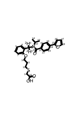 [2H]C([2H])(c1ccccc1OCCCSCC(=O)O)N(C(=O)c1ccc(-c2ccco2)cc1)C(C)C